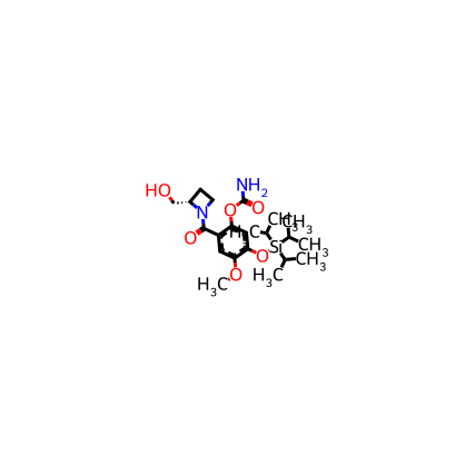 COc1cc(C(=O)N2CC[C@H]2CO)c(OC(N)=O)cc1O[Si](C(C)C)(C(C)C)C(C)C